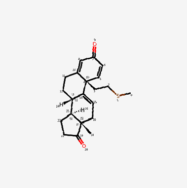 CSCC[C@]12C=CC(=O)C=C1CC[C@@H]1C2=CC[C@]2(C)C(=O)CC[C@@H]12